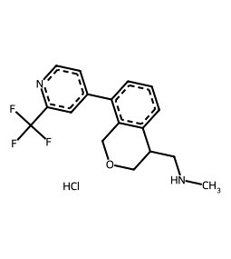 CNCC1COCc2c(-c3ccnc(C(F)(F)F)c3)cccc21.Cl